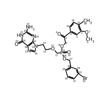 COc1cc(C(=O)COP(=O)(COCCn2cnc3c(=O)[nH]c(N)nc32)OCc2cccc(Br)c2)ccc1C